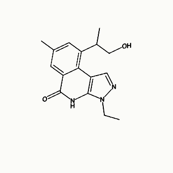 CCn1ncc2c3c(C(C)CO)cc(C)cc3c(=O)[nH]c21